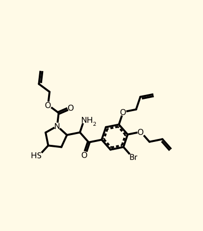 C=CCOC(=O)N1CC(S)CC1C(N)C(=O)c1cc(Br)c(OCC=C)c(OCC=C)c1